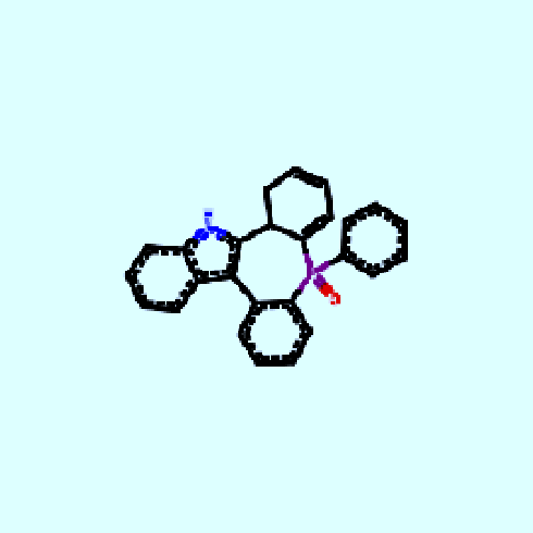 O=P1(c2ccccc2)C2=CC=CCC2c2[nH]c3ccccc3c2-c2ccccc21